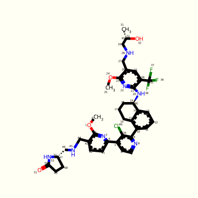 COc1nc(-c2ccnc(-c3cccc4c3CCC[C@H]4Nc3nc(OC)c(CNC[C@H](C)O)cc3C(F)(F)F)c2Cl)ccc1CNC[C@@H]1CCC(=O)N1